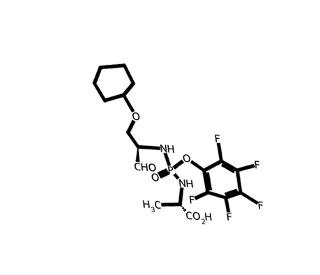 C[C@H](NP(=O)(N[C@@H](C=O)COC1CCCCC1)Oc1c(F)c(F)c(F)c(F)c1F)C(=O)O